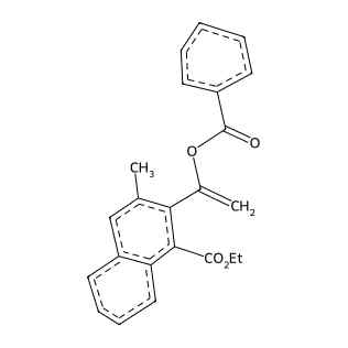 C=C(OC(=O)c1ccccc1)c1c(C)cc2ccccc2c1C(=O)OCC